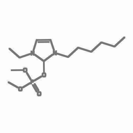 CCCCCCN1C=CN(CC)C1OP(=O)(OC)OC